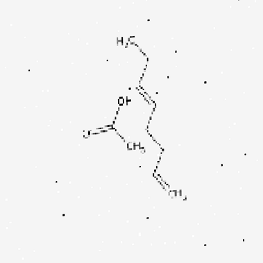 C=CCCC=CCC.CC(=O)O